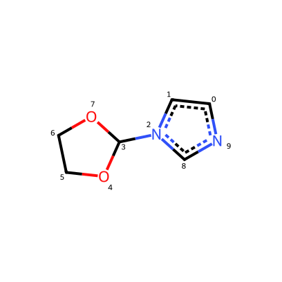 c1cn(C2OCCO2)cn1